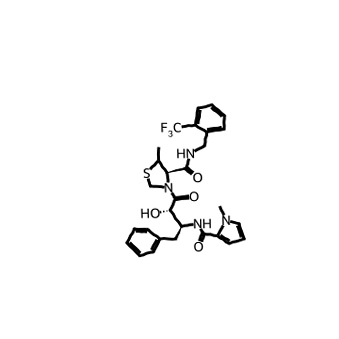 CC1SCN(C(=O)[C@@H](O)[C@H](Cc2ccccc2)NC(=O)c2cccn2C)[C@@H]1C(=O)NCc1ccccc1C(F)(F)F